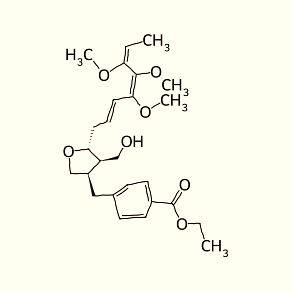 C\C=C(OC)/C(OC)=C(\C=C\C[C@H]1OC[C@H](Cc2ccc(C(=O)OCC)cc2)[C@@H]1CO)OC